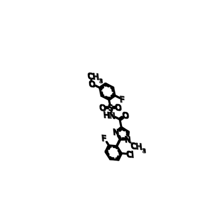 COc1ccc(F)c(S(=O)(=O)NC(=O)c2cn(C)c(-c3c(F)cccc3Cl)n2)c1